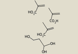 C=C(C)C(=O)O.C=C(C)C(=O)O.C=C(C)C(=O)O.OCCC(O)O